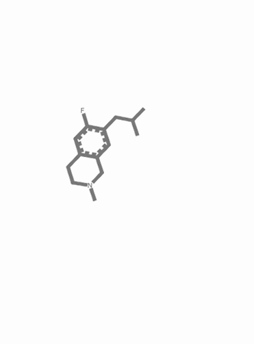 CC(C)Cc1cc2c(cc1F)CCN(C)C2